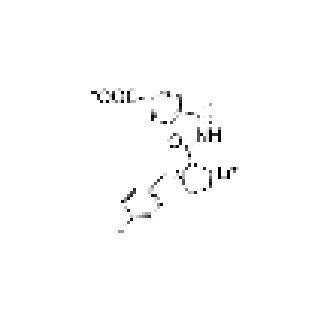 C[C@H](NC(=O)C1CCCN1Cc1ccc(F)cc1)c1ccc(C(=O)[O-])cc1.[Li+]